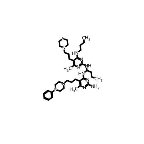 CCCCNc1nc(NC(CCC)Nc2nc(N)nc(C)c2CCCN2CCN(c3ccccc3)CC2)nc(C)c1CCCN1CCSCC1